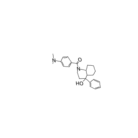 CN(C)c1ccc(C(=O)N2CCC(O)(c3ccccc3)C3CCCCC32)cc1